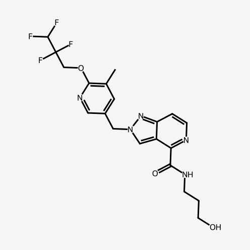 Cc1cc(Cn2cc3c(C(=O)NCCCO)nccc3n2)cnc1OCC(F)(F)C(F)F